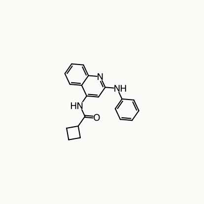 O=C(Nc1cc(Nc2ccccc2)nc2ccccc12)C1CCC1